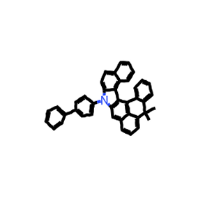 CC1(C)c2ccccc2-c2c3c1cccc3cc1c2c2c3ccccc3ccc2n1-c1ccc(-c2ccccc2)cc1